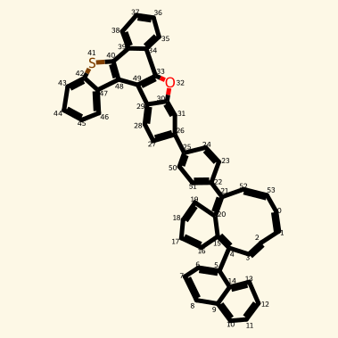 c1cccc(-c2cccc3ccccc23)c2ccccc2c(-c2ccc(-c3ccc4c(c3)oc3c5ccccc5c5sc6ccccc6c5c43)cc2)cc1